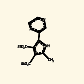 CCOC(=O)c1c(C)[nH]c(-c2cnccn2)c1C(=O)OCC